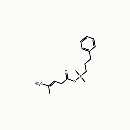 CC(=CCC(=O)O[Si](C)(C)CCCc1ccccc1)C(=O)O